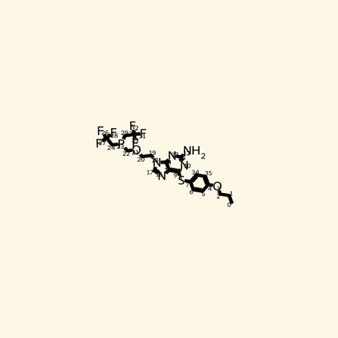 CCCOc1ccc(Sc2nc(N)nc3c2ncn3CCOCP(CC(F)(F)F)CC(F)(F)F)cc1